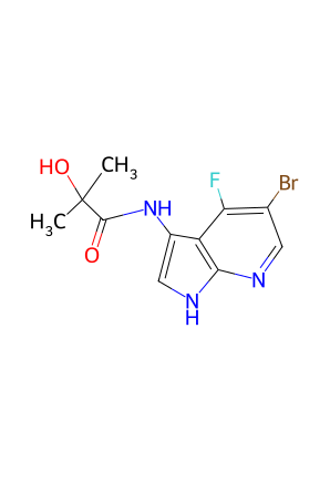 CC(C)(O)C(=O)Nc1c[nH]c2ncc(Br)c(F)c12